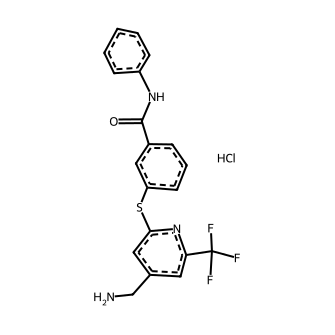 Cl.NCc1cc(Sc2cccc(C(=O)Nc3ccccc3)c2)nc(C(F)(F)F)c1